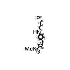 CNC(=O)C1CN(Cc2ccc(NCCCCCC(C)C)cc2)C1